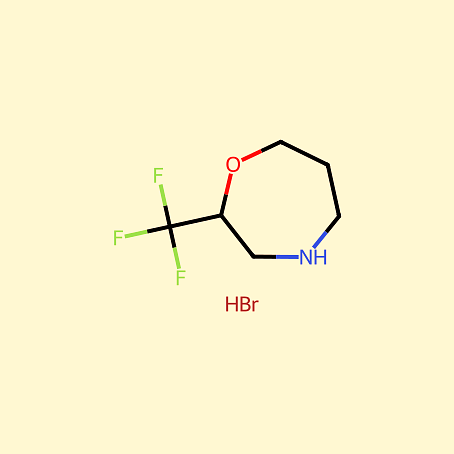 Br.FC(F)(F)C1CNCCCO1